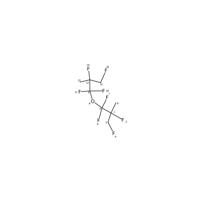 CC(F)(CF)C(F)(F)OC(F)(F)C(C)(F)CF